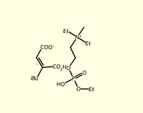 CCC(C)/C(=C/C(=O)[O-])C(=O)O.CCOP(=O)(O)OCC[N+](C)(CC)CC